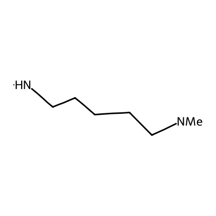 CNCCCCC[NH]